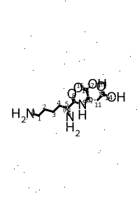 NCCCC[C@@H](N)C(=O)N[C@@H](CC(=O)O)C(=O)O